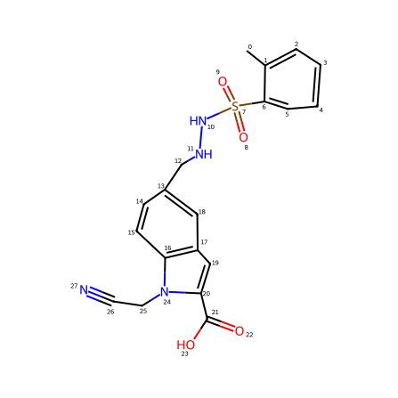 Cc1ccccc1S(=O)(=O)NNCc1ccc2c(c1)cc(C(=O)O)n2CC#N